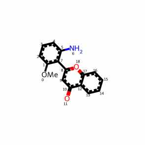 COc1cccc(N)c1-c1cc(=O)c2ccccc2o1